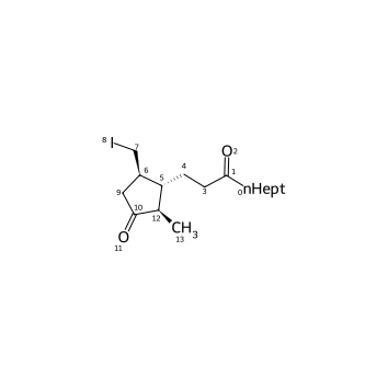 CCCCCCCC(=O)CC[C@H]1[C@H](CI)CC(=O)[C@@H]1C